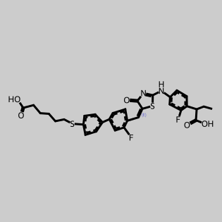 CCC(C(=O)O)c1ccc(NC2=NC(=O)/C(=C\c3ccc(-c4ccc(SCCCCCC(=O)O)cc4)cc3F)S2)cc1F